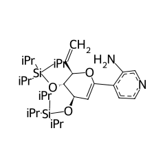 C=C[C@H]1OC(c2ccncc2N)=C[C@@H](O[Si](C(C)C)(C(C)C)C(C)C)[C@@H]1O[Si](C(C)C)(C(C)C)C(C)C